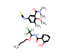 CCCCOC(NC(=O)c1ccccc1O)C(Cl)(Cl)Cl.COc1c(C)cc(N=C=S)cc1C(=O)N(C)C